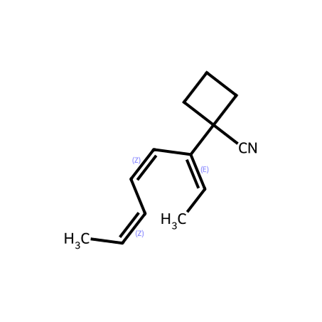 C\C=C/C=C\C(=C/C)C1(C#N)CCC1